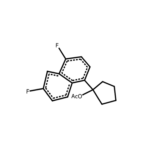 CC(=O)OC1(c2ccc(F)c3cc(F)ccc23)CCCC1